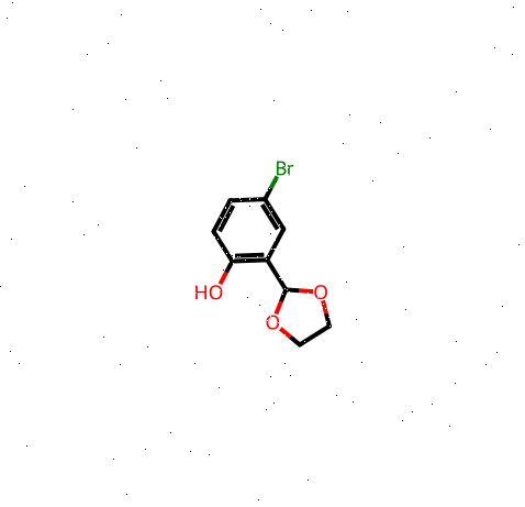 Oc1ccc(Br)cc1C1OCCO1